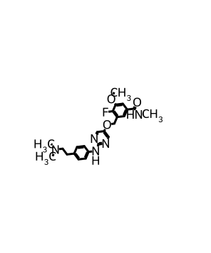 CNC(=O)c1cc(COc2cnc(Nc3ccc(CCN(C)C)cc3)nc2)c(F)c(OC)c1